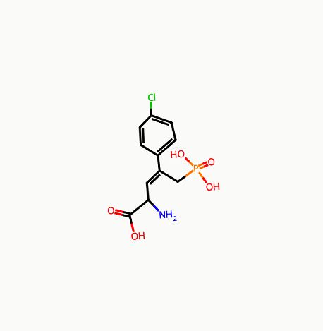 NC(C=C(CP(=O)(O)O)c1ccc(Cl)cc1)C(=O)O